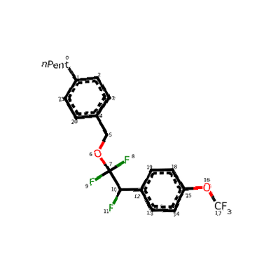 CCCCCc1ccc(COC(F)(F)C(F)c2ccc(OC(F)(F)F)cc2)cc1